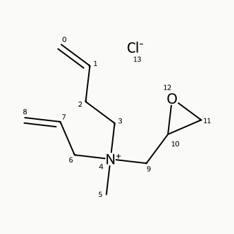 C=CCC[N+](C)(CC=C)CC1CO1.[Cl-]